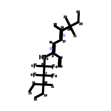 C=C/C(BC(F)(F)C(F)(F)C(C)(CC)CC)=C\C=C(/C)C(C)(C)CC